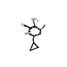 Cc1cc(C2CC2)[nH]c(=O)c1N